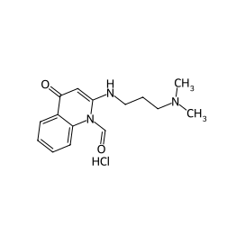 CN(C)CCCNc1cc(=O)c2ccccc2n1C=O.Cl